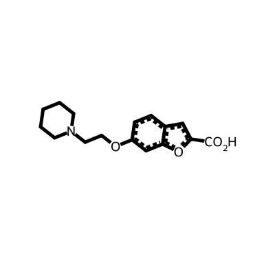 O=C(O)c1cc2ccc(OCCN3CCCCC3)cc2o1